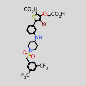 O=C(O)COc1c(C(=O)O)sc(-c2cccc(NC3CCN(S(=O)(=O)Cc4cc(C(F)(F)F)cc(C(F)(F)F)c4)CC3)c2)c1Br